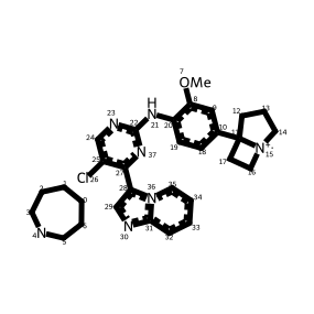 C1CCC[N]CC1.COc1cc(C23CCC[N+]2CC3)ccc1Nc1ncc(Cl)c(-c2cnc3ccccn23)n1